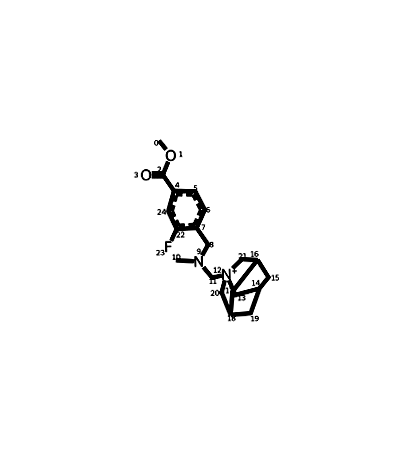 COC(=O)c1ccc(CN(C)C[N+]23CC4CC(CC(C4)C2)C3)c(F)c1